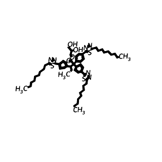 CCCCCCCCCc1nnc(-c2ccc(C(CC)C(C(=O)OCC(O)CO)(c3ccc(-c4nnc(CCCCCCCCC)s4)cc3)c3ccc(-c4nnc(CCCCCCCCC)s4)cc3)cc2)s1